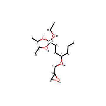 CCCC(CC[Si](OCC)(OCC)OCC)OCC1CO1